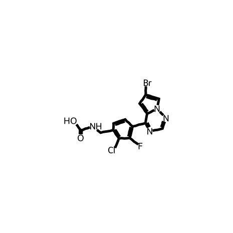 O=C(O)NCc1ccc(-c2ncnn3cc(Br)cc23)c(F)c1Cl